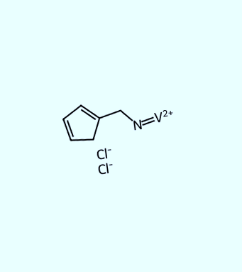 [Cl-].[Cl-].[V+2]=[N]CC1=CC=CC1